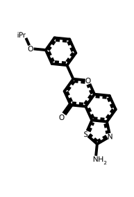 CC(C)Oc1cccc(-c2cc(=O)c3c(ccc4nc(N)sc43)o2)c1